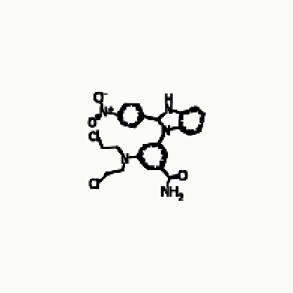 NC(=O)c1cc(N(CCCl)CCCl)cc(N2c3ccccc3NC2c2ccc([N+](=O)[O-])cc2)c1